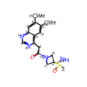 COc1cc2ncnc(CC(=O)N3CC(S(C)(=N)=O)C3)c2cc1OC